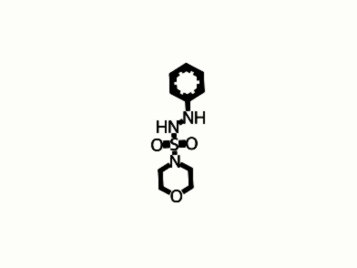 O=S(=O)(NNc1ccccc1)N1CCOCC1